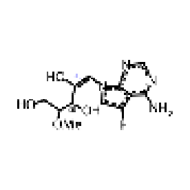 COC(CO)[C@H](O)/C(O)=C\n1cc(F)c2c(N)ncnc21